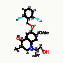 COc1cc2c(cc1OCc1c(F)cccc1F)c(=O)c(C(C)=O)cn2[C@H](CO)C(C)C